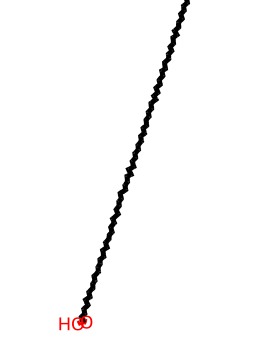 CCCCCCCCCCCCCCCCCCCCCCCCCCCCCCCCCCCCCCCCCCCCCCCCCCCCCCCCCCCCCCCCCCCCCCCCCCCCCCCC(=O)O